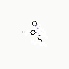 C=C(/C=C(C)\C=C/C)Nc1ccc(C)cc1-n1c(C)nc2ccccc21